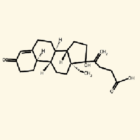 C=C(CCC(=O)O)[C@]1(O)CC[C@H]2[C@@H]3CCC4=CC(=O)CC[C@@H]4[C@H]3CC[C@@]21CC